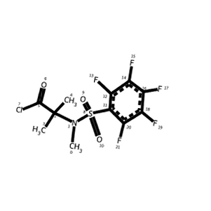 CN(C(C)(C)C(=O)Cl)S(=O)(=O)c1c(F)c(F)c(F)c(F)c1F